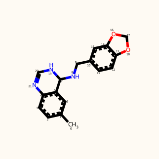 Cc1ccc2c(c1)C(NCc1ccc3c(c1)OCO3)NC=N2